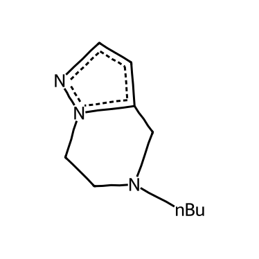 CCCCN1CCn2nccc2C1